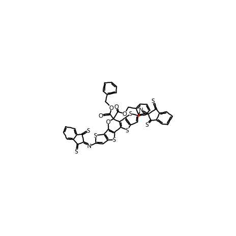 O=C(OCc1ccccc1)C1(C(=O)OCc2ccccc2)Oc2c(sc3cc(N=c4c(=S)c5ccccc5c4=S)sc23)-c2sc3cc(N=c4c(=S)c5ccccc5c4=S)sc3c21